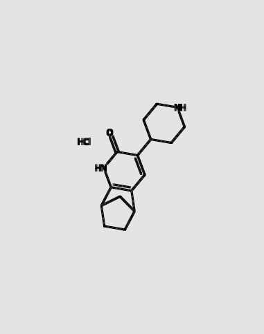 Cl.O=c1[nH]c2c(cc1C1CCNCC1)C1CCC2C1